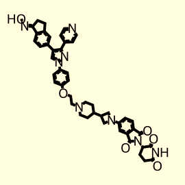 O=C1CCC(N2C(=O)c3ccc(N4CC(C5CCN(CCOc6ccc(-n7cc(-c8ccc9c(c8)CCC9=NO)c(-c8ccncc8)n7)cc6)CC5)C4)cc3C2=O)C(=O)N1